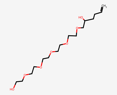 C=CCCC(O)COCCOCCOCCOCCOCCO